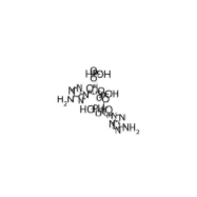 Nc1ncnc2c1ncn2[C@H]1C[C@H](OPO)[C@@H](COP(=O)(O)O[C@H]2C[C@H](n3cnc4c(N)ncnc43)O[C@@H]2CO[PH](=O)O)O1